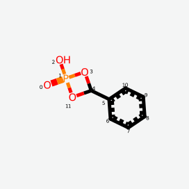 O=P1(O)OC(c2ccccc2)O1